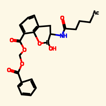 CC(=O)CCCC(=O)NC1Cc2cccc(C(=O)OCOC(=O)c3ccccc3)c2OB1O